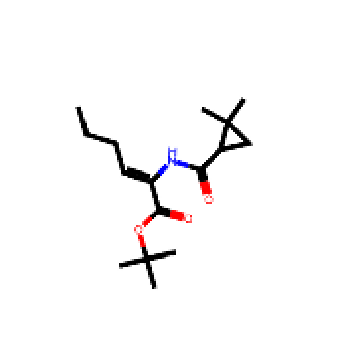 CCC/C=C(\NC(=O)C1CC1(C)C)C(=O)OC(C)(C)C